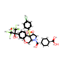 O=C(O)[C@H]1CC[C@H](C(=O)N2CCC3(S(=O)(=O)c4ccc(Cl)cc4)c4ccc(C(O)(C(F)(F)F)C(F)(F)F)cc4OCC23)CC1